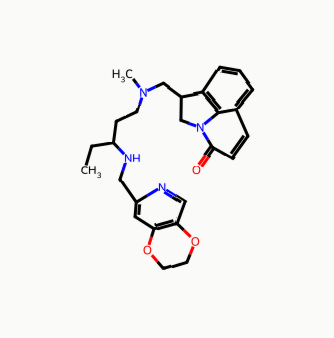 CCC(CCN(C)CC1Cn2c(=O)ccc3cccc1c32)NCc1cc2c(cn1)OCCO2